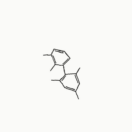 Cc1cc(C)c(-c2cccc(C)c2C)c(C)c1